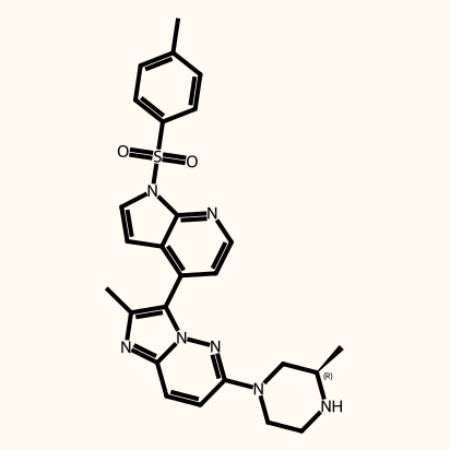 Cc1ccc(S(=O)(=O)n2ccc3c(-c4c(C)nc5ccc(N6CCN[C@H](C)C6)nn45)ccnc32)cc1